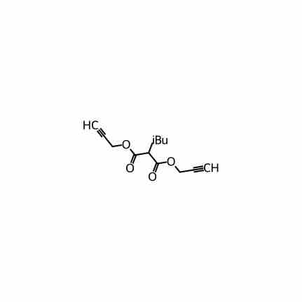 C#CCOC(=O)C(C(=O)OCC#C)C(C)CC